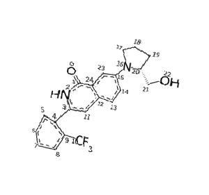 O=c1[nH]c(-c2ccccc2C(F)(F)F)cc2ccc(N3CCC[C@@H]3CO)cc12